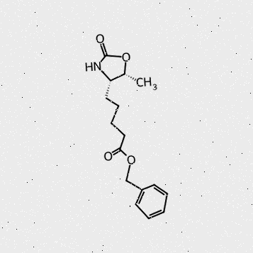 C[C@H]1OC(=O)N[C@H]1CCCCC(=O)OCc1ccccc1